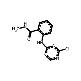 CNC(=O)c1ccccc1Nc1ncnc(Cl)n1